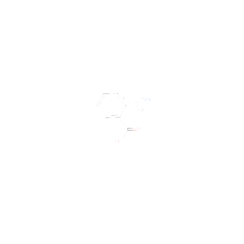 C=C.N.O=C(O)c1ccccc1